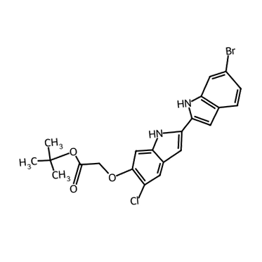 CC(C)(C)OC(=O)COc1cc2[nH]c(-c3cc4ccc(Br)cc4[nH]3)cc2cc1Cl